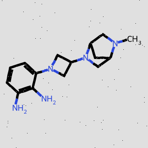 CN1CC2CC1CN2C1CN(c2cccc(N)c2N)C1